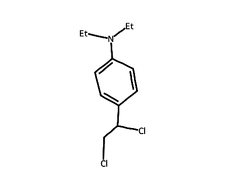 CCN(CC)c1ccc(C(Cl)CCl)cc1